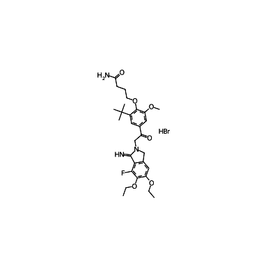 Br.CCOc1cc2c(c(F)c1OCC)C(=N)N(CC(=O)c1cc(OC)c(OCCCC(N)=O)c(C(C)(C)C)c1)C2